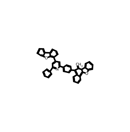 C=C1C(c2ccc(-c3cc(-c4cccc5c4oc4ccccc45)cc(-c4ccccc4)n3)cc2)=c2ccccc2=C2Oc3ccccc3C12